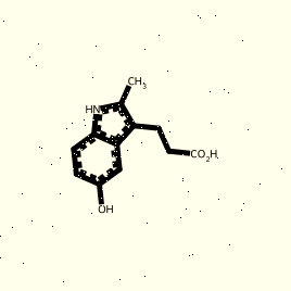 Cc1[nH]c2ccc(O)cc2c1CCC(=O)O